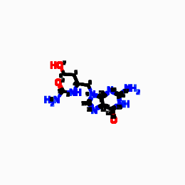 NC(=O)NC(CCO)Cn1cnc2c(=O)[nH]c(N)nc21